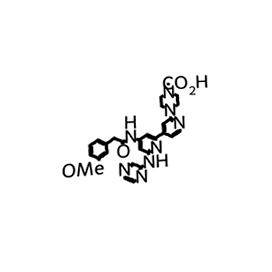 COc1cccc(CC(=O)Nc2cc(Nc3cnccn3)nc(-c3ccnc(N4CCN(C(=O)O)CC4)c3)c2)c1